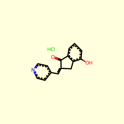 Cl.O=C1C(=Cc2ccncc2)Cc2c(O)cccc21